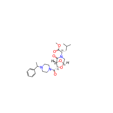 COC(=O)[C@H](CC(C)C)N1C[C@H]2O[C@H](C(=O)N3CCN(C(C)c4ccccc4)CC3)[C@@H](O2)C1=O